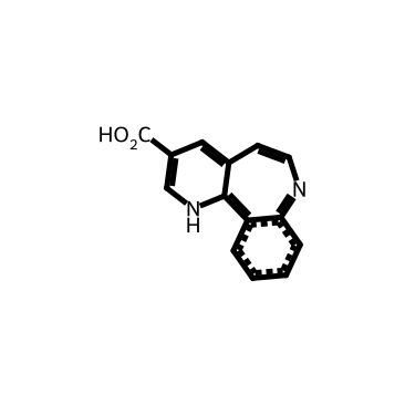 O=C(O)C1=CNC2=c3ccccc3=NC=CC2=C1